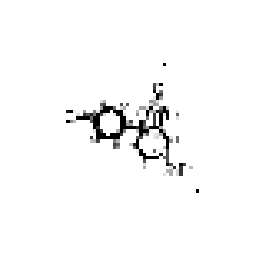 CCCN1CCC(O[SH](=O)=O)(c2ccc(Cl)cc2)CC1